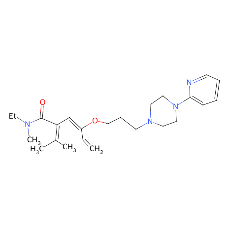 C=C/C(=C\C(C(=O)N(C)CC)=C(C)C)OCCCN1CCN(c2ccccn2)CC1